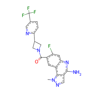 Cn1ncc2c(N)nc3cc(F)c(C(=O)N4CC(c5ccc(C(F)(F)F)cn5)C4)cc3c21